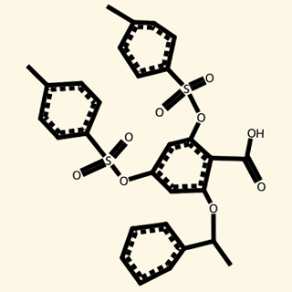 Cc1ccc(S(=O)(=O)Oc2cc(OC(C)c3ccccc3)c(C(=O)O)c(OS(=O)(=O)c3ccc(C)cc3)c2)cc1